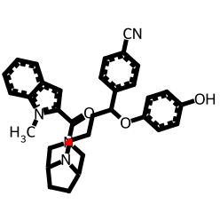 Cn1c(C(=O)N2CC3CCC(C2)N3CCCC(Oc2ccc(O)cc2)c2ccc(C#N)cc2)cc2ccccc21